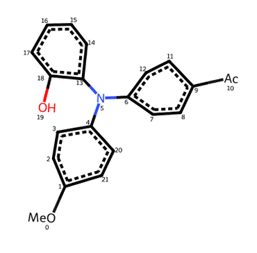 COc1ccc(N(c2ccc(C(C)=O)cc2)c2ccccc2O)cc1